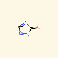 O=C1N=[C]N=N1